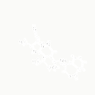 Cc1nc2c(C(C)C)c(C(=O)N[C@H]3CCOc4ccccc43)cnn2c1C#N